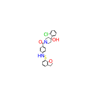 O=C(c1ccc(NSc2cccc3c2OCC3)cc1)N1CCC(O)(c2ccccc2Cl)CC1